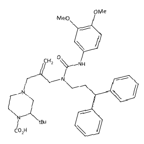 C=C(CN1CCN(C(=O)O)C(C(C)(C)C)C1)CN(CCC(c1ccccc1)c1ccccc1)C(=O)Nc1ccc(OC)c(OC)c1